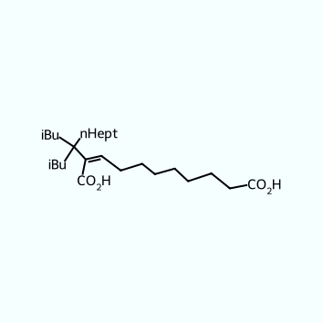 CCCCCCCC(C(=CCCCCCCCC(=O)O)C(=O)O)(C(C)CC)C(C)CC